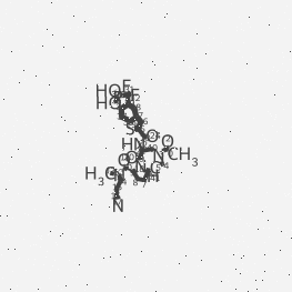 CC(=O)N1CC[C@H]2CC[C@@H](C(=O)N(C)CCC#N)N2C(=O)[C@@H](NC(=O)c2cc3cc(C(F)(F)P(O)O)ccc3s2)C1